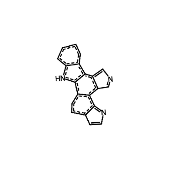 C1=Cc2ccc3c(c4c(c5c6ccccc6[nH]c35)=CN=C4)c2=N1